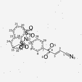 N#CC=CS(=O)(=O)c1ccc(N2S(=O)(=O)c3ccc4cc(ccc4c3)S2(=O)=O)cc1